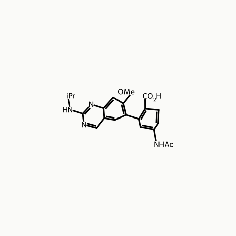 COc1cc2nc(NC(C)C)ncc2cc1-c1cc(NC(C)=O)ccc1C(=O)O